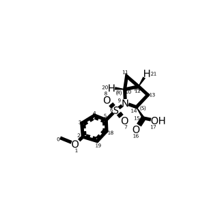 COc1ccc(S(=O)(=O)N2[C@@H]3C[C@@H]3C[C@H]2C(=O)O)cc1